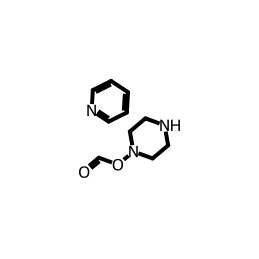 O=CON1CCNCC1.c1ccncc1